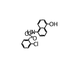 O=S(=O)(Nc1cccc2c(O)cccc12)c1ccccc1Cl